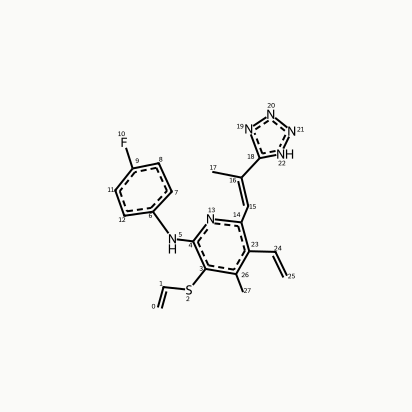 C=CSc1c(Nc2ccc(F)cc2)nc(/C=C(\C)c2nnn[nH]2)c(C=C)c1C